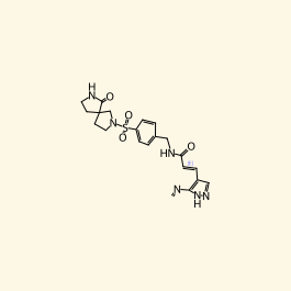 C=Nc1[nH]ncc1/C=C/C(=O)NCc1ccc(S(=O)(=O)N2CCC3(CCNC3=O)C2)cc1